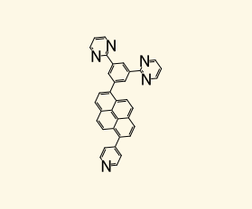 c1cnc(-c2cc(-c3ncccn3)cc(-c3ccc4ccc5c(-c6ccncc6)ccc6ccc3c4c65)c2)nc1